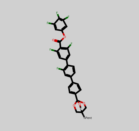 CCCCCC12COC(c3ccc(-c4ccc(-c5cc(F)c(C(=O)Oc6cc(F)c(F)c(F)c6)c(F)c5)c(F)c4)cc3)(OC1)OC2